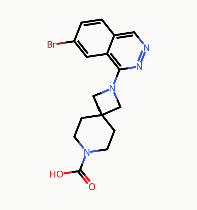 O=C(O)N1CCC2(CC1)CN(c1nncc3ccc(Br)cc13)C2